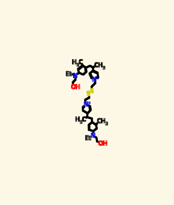 CCN(CCO)C1C=C(C)C(CC(C)c2cc[n+](CCSSCC[N+]3=CCC(C(C)CC4C=CC(N(CC)CCO)CC4C)C=C3)cc2)=CC1